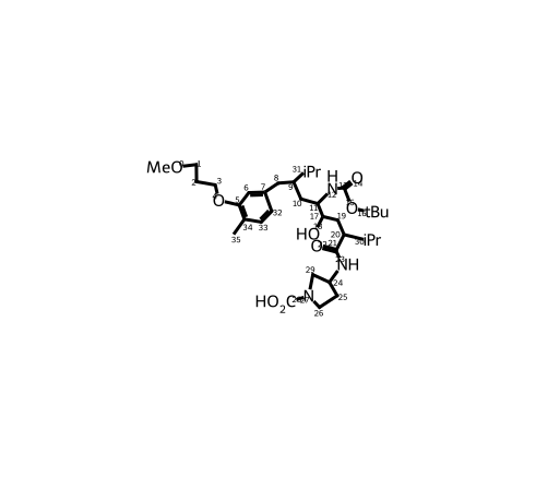 COCCCOc1cc(CC(CC(NC(=O)OC(C)(C)C)C(O)CC(C(=O)NC2CCN(C(=O)O)C2)C(C)C)C(C)C)ccc1C